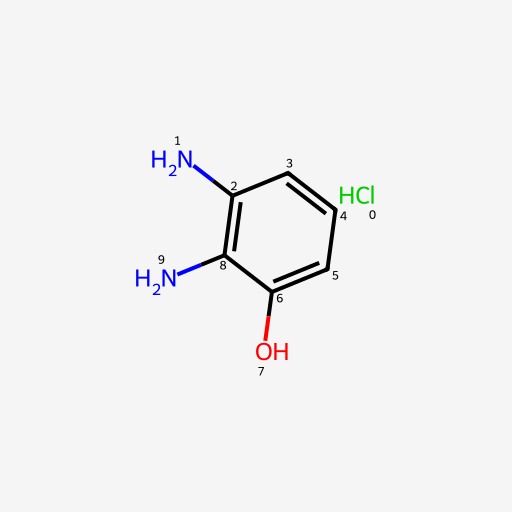 Cl.Nc1cccc(O)c1N